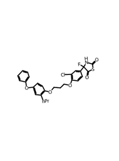 CCCc1cc(Oc2ccccc2)ccc1OCCCOc1ccc(C2(F)NC(=O)SC2=O)cc1Cl